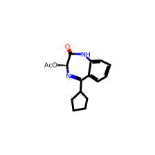 CC(=O)O[C@@H]1N=C(C2CCCC2)c2ccccc2NC1=O